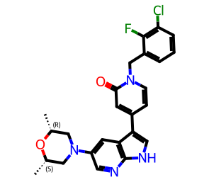 C[C@@H]1CN(c2cnc3[nH]cc(-c4ccn(Cc5cccc(Cl)c5F)c(=O)c4)c3c2)C[C@H](C)O1